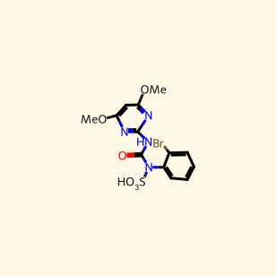 COc1cc(OC)nc(NC(=O)N(c2ccccc2Br)S(=O)(=O)O)n1